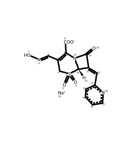 O=C([O-])C1=C(/C=N/O)CS(=O)(=O)[C@H]2/C(=C\c3ccccn3)C(=O)N12.[Na+]